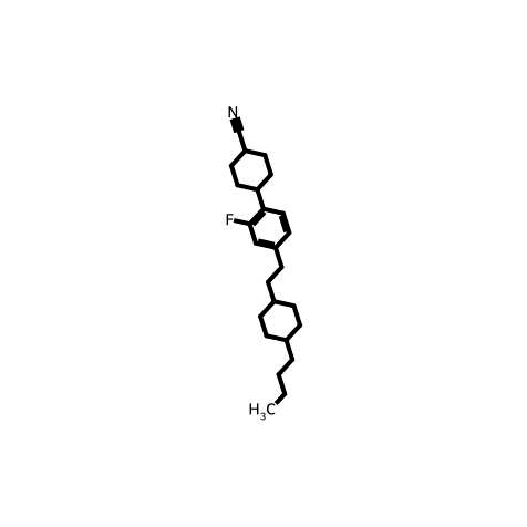 CCCCC1CCC(CCc2ccc(C3CCC(C#N)CC3)c(F)c2)CC1